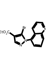 CCOC(=O)c1cnn(-c2cccc3ncccc23)c1Br